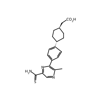 Cc1ncc(C(N)=S)nc1-c1ccc([C@H]2CC[C@H](CC(=O)O)CC2)cc1